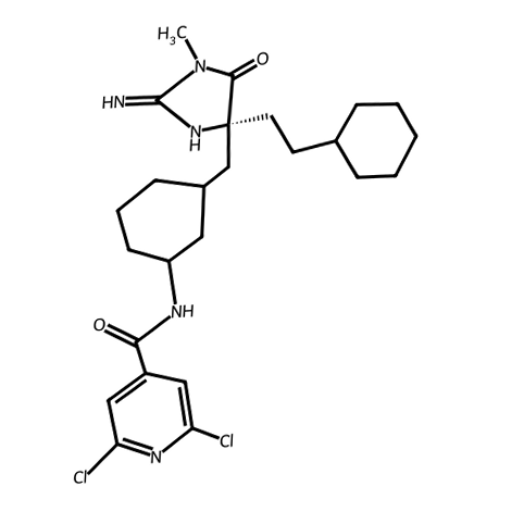 CN1C(=N)N[C@](CCC2CCCCC2)(CC2CCCC(NC(=O)c3cc(Cl)nc(Cl)c3)C2)C1=O